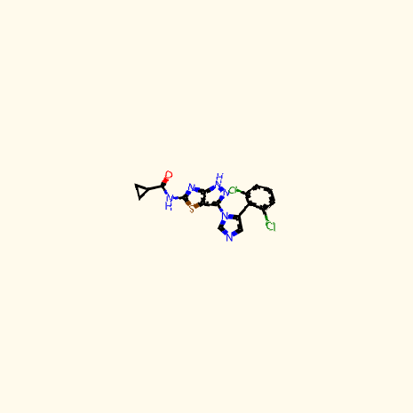 O=C(Nc1nc2[nH]nc(-n3cncc3-c3c(Cl)cccc3Cl)c2s1)C1CC1